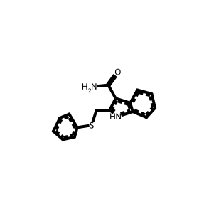 NC(=O)c1c(CSc2ccccc2)[nH]c2ccccc12